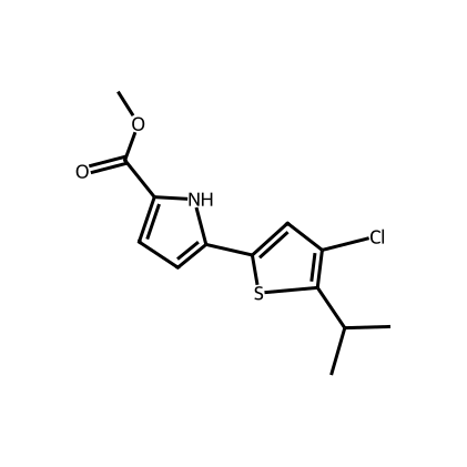 COC(=O)c1ccc(-c2cc(Cl)c(C(C)C)s2)[nH]1